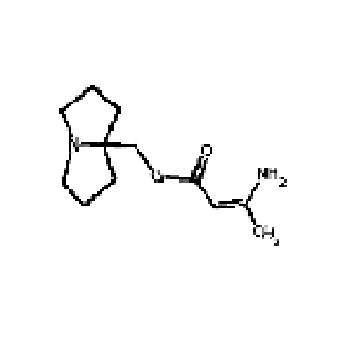 CC(N)=CC(=O)OCC12CCCN1CCC2